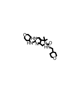 CC1(C)C2=CNC(NC3CCOCC3)N=C2CN1C(=O)NCC1CCOCC1